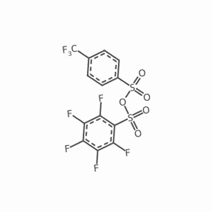 O=S(=O)(OS(=O)(=O)c1c(F)c(F)c(F)c(F)c1F)c1ccc(C(F)(F)F)cc1